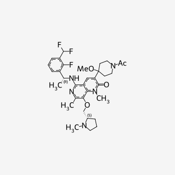 COC1(c2cc3c(N[C@H](C)c4cccc(C(F)F)c4F)nc(C)c(OC[C@@H]4CCCN4C)c3n(C)c2=O)CCN(C(C)=O)CC1